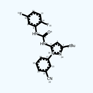 CC(C)(C)c1cc(NC(=O)Nc2cc(F)ccc2F)n(-c2cccc(C#N)c2)n1